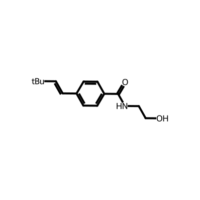 CC(C)(C)/C=C/c1ccc(C(=O)NCCO)cc1